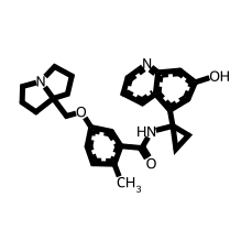 Cc1ccc(OCC23CCCN2CCC3)cc1C(=O)NC1(c2cc(O)cc3ncccc23)CC1